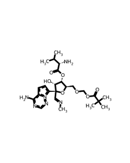 CN=C[C@@]1(c2ccc3c(N)ncnn23)O[C@H](COCOC(=O)C(C)(C)C)[C@@H](OC(=O)[C@@H](N)C(C)C)[C@H]1O